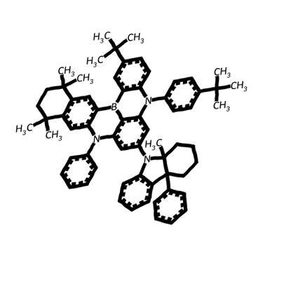 CC(C)(C)c1ccc(N2c3ccc(C(C)(C)C)cc3B3c4cc5c(cc4N(c4ccccc4)c4cc(N6c7ccccc7C7(c8ccccc8)CCCCC67C)cc2c43)C(C)(C)CCC5(C)C)cc1